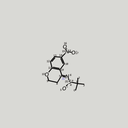 CC(C)(C)[S@@+]([O-])/N=C1\CCOc2ccc([N+](=O)[O-])cc21